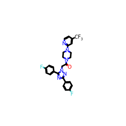 O=C(Cn1nc(-c2ccc(F)cc2)nc1-c1ccc(F)cc1)N1CCN(c2cc(C(F)(F)F)ccn2)CC1